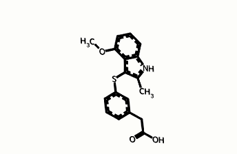 COc1cccc2[nH]c(C)c(Sc3cccc(CC(=O)O)c3)c12